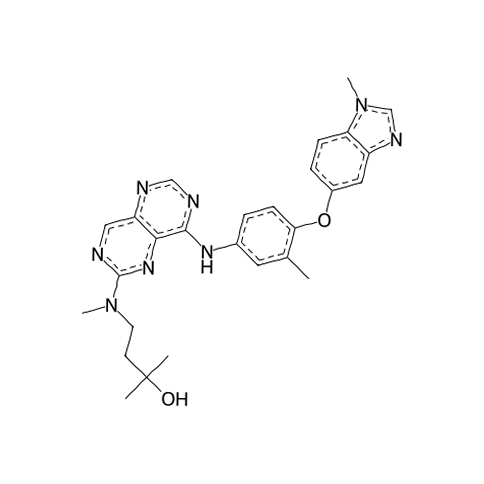 Cc1cc(Nc2ncnc3cnc(N(C)CCC(C)(C)O)nc23)ccc1Oc1ccc2c(c1)ncn2C